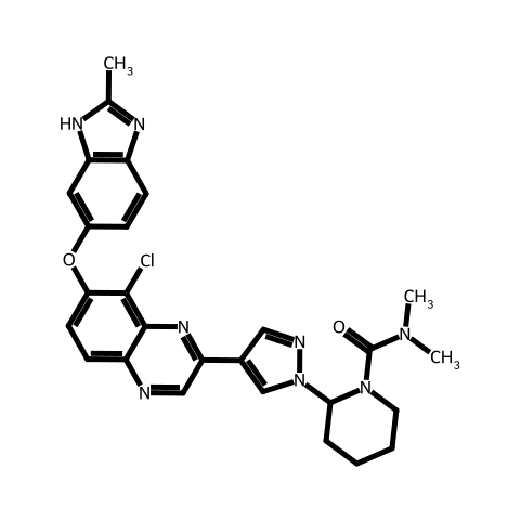 Cc1nc2ccc(Oc3ccc4ncc(-c5cnn(C6CCCCN6C(=O)N(C)C)c5)nc4c3Cl)cc2[nH]1